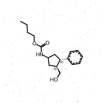 CCCCOC(=O)NC1C[C@H](CO)[C@@H](c2ccccc2)C1